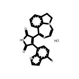 Cl.O=C1NC(=O)C(c2ccc(F)c3ccoc23)=C1C1=NC=CN2CCc3cccc1c32